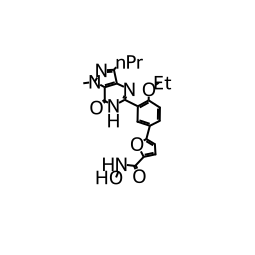 CCCc1nn(C)c2c(=O)[nH]c(-c3cc(-c4ccc(C(=O)NO)o4)ccc3OCC)nc12